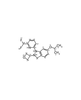 CC(C)Oc1ccc2c(c1)N(c1cccc(C(F)F)n1)N(C1COC1)C2